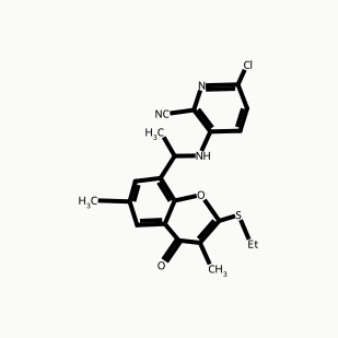 CCSc1oc2c(C(C)Nc3ccc(Cl)nc3C#N)cc(C)cc2c(=O)c1C